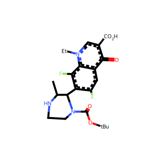 CCn1cc(C(=O)O)c(=O)c2cc(F)c(C3C(C)NCCN3C(=O)OC(C)(C)C)c(F)c21